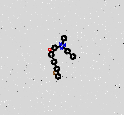 c1ccc(-c2ccc(-c3nc(-c4ccccc4)nc(-c4ccc5oc6ccc(-c7ccc(-c8ccc9c(c8)sc8ccccc89)cc7)cc6c5c4)n3)cc2)cc1